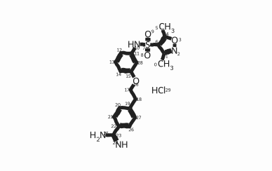 Cc1noc(C)c1S(=O)(=O)Nc1cccc(OCCc2ccc(C(=N)N)cc2)c1.Cl